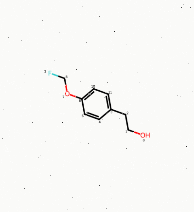 OCCc1ccc(OCF)cc1